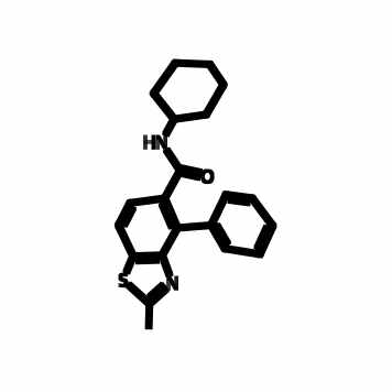 Cc1nc2c(-c3ccccc3)c(C(=O)NC3CCCCC3)ccc2s1